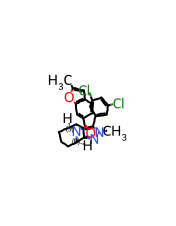 Cc1cc2ccc(C(=O)N3[C@H]4CCC[C@@H]3c3nn(C)c(-c5cc(Cl)cc(Cl)c5)c3C4)cc2o1